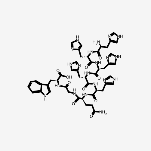 NC(=O)CC[C@H](NC(=O)[C@H](Cc1c[nH]cn1)NC(=O)[C@H](Cc1c[nH]cn1)NC(=O)[C@H](Cc1c[nH]cn1)NC(=O)[C@H](Cc1c[nH]cn1)NC(=O)[C@@H](N)Cc1c[nH]cn1)C(=O)NCC(=O)N[C@@H](Cc1c[nH]c2ccccc12)C(=O)O